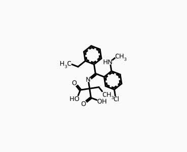 CCc1ccccc1C(=NC(CC)(C(=O)O)C(=O)O)c1cc(Cl)ccc1NC